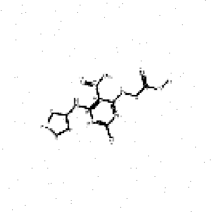 COC(=O)COc1nc(Cl)nc(NC2CCOC2)c1[N+](=O)[O-]